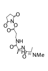 CN[C@@H](C)C(=O)N[C@@H](C)C(=O)NCCC(=O)ON1C(=O)CCC1=O